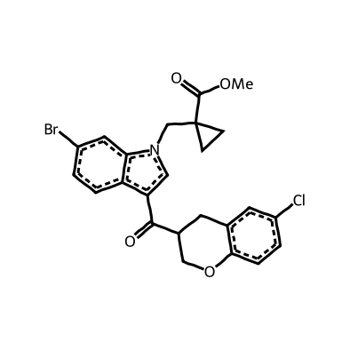 COC(=O)C1(Cn2cc(C(=O)C3COc4ccc(Cl)cc4C3)c3ccc(Br)cc32)CC1